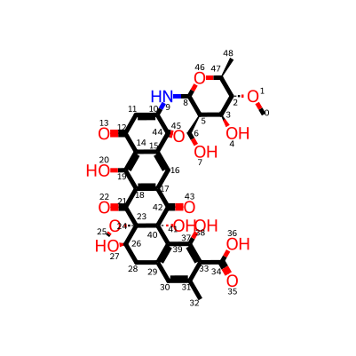 CO[C@@H]1[C@@H](O)[C@@H](CO)C(NC2=CC(=O)c3c(cc4c(c3O)C(=O)[C@]3(OC)[C@H](O)Cc5cc(C)c(C(=O)O)c(O)c5[C@]3(O)C4=O)C2=O)O[C@H]1C